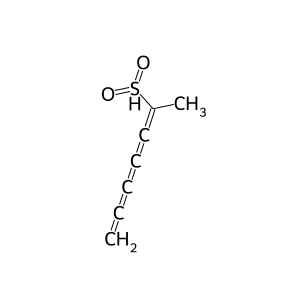 C=C=C=C=C=C(C)[SH](=O)=O